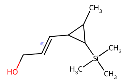 CC1C(/C=C/CO)C1[Si](C)(C)C